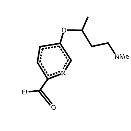 CCC(=O)c1ccc(OC(C)CCNC)cn1